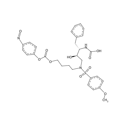 COc1ccc(S(=O)(=O)N(CCCCOC(=O)Oc2ccc(N=O)cc2)C[C@@H](O)[C@H](Cc2ccccc2)NC(=O)O)cc1